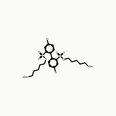 CCCCCCCCCCCCCCCOS(=O)(=O)c1cc(Cl)ccc1-c1ccc(Cl)cc1S(=O)(=O)OCCCCCCCCCCCCCCC